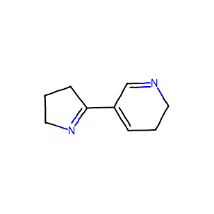 C1=NCCC=C1C1=NCCC1